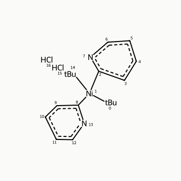 C[C](C)(C)[Ni]([c]1ccccn1)([c]1ccccn1)[C](C)(C)C.Cl.Cl